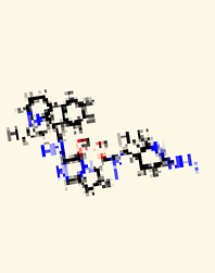 CC[C@@](CNc1ncc2n(c1=O)[C@H](C(=O)NCc1ccc(N)nc1C)CC2)(c1ccccc1)c1ccccn1